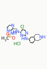 CS(=O)(=O)Nc1nccnc1CNc1nc(Nc2ccc3c(c2)CCNCC3)ncc1Cl.Cl